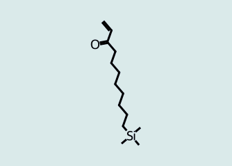 C=CC(=O)CCCCCCCC[Si](C)(C)C